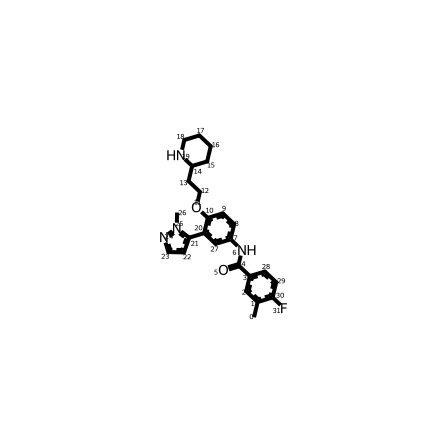 Cc1cc(C(=O)Nc2ccc(OCCC3CCCCN3)c(-c3ccnn3C)c2)ccc1F